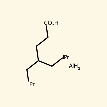 CC(C)CC(CCC(=O)O)CC(C)C.[AlH3]